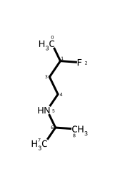 CC(F)CCNC(C)C